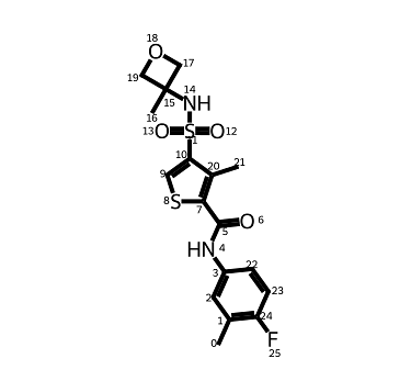 Cc1cc(NC(=O)c2scc(S(=O)(=O)NC3(C)COC3)c2C)ccc1F